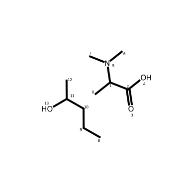 CC(C(=O)O)N(C)C.CCCC(C)O